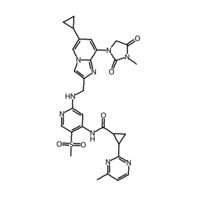 Cc1ccnc(C2CC2C(=O)Nc2cc(NCc3cn4cc(C5CC5)cc(N5CC(=O)N(C)C5=O)c4n3)ncc2S(C)(=O)=O)n1